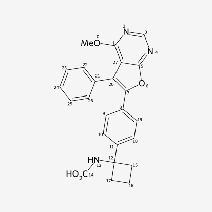 COc1ncnc2oc(-c3ccc(C4(NC(=O)O)CCC4)cc3)c(-c3ccccc3)c12